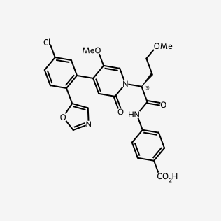 COCC[C@@H](C(=O)Nc1ccc(C(=O)O)cc1)n1cc(OC)c(-c2cc(Cl)ccc2-c2cnco2)cc1=O